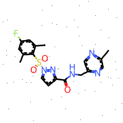 Cc1cnc(CNC(=O)c2ccn(S(=O)(=O)c3c(C)cc(F)cc3C)n2)cn1